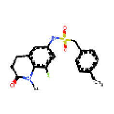 CCN1C(=O)CCc2cc(NS(=O)(=O)Cc3ccc(C)cc3)cc(F)c21